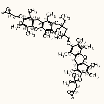 CCC(C)(CC(O)COc1c(C)c(C)c2c(c1C)Cc1c(C)c(OC(C)(P)CC3CO3)c(C)c(C)c1O2)Oc1c(C)c(C)c2c(c1C)Cc1c(C)c(OCC3CO3)c(C)c(C)c1O2